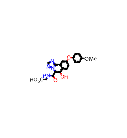 COc1ccc(Oc2ccc3c(O)c(C(=O)NCC(=O)O)n4ncnc4c3c2)cc1